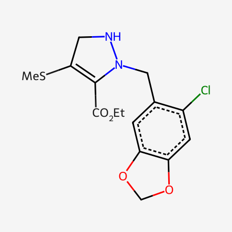 CCOC(=O)C1=C(SC)CNN1Cc1cc2c(cc1Cl)OCO2